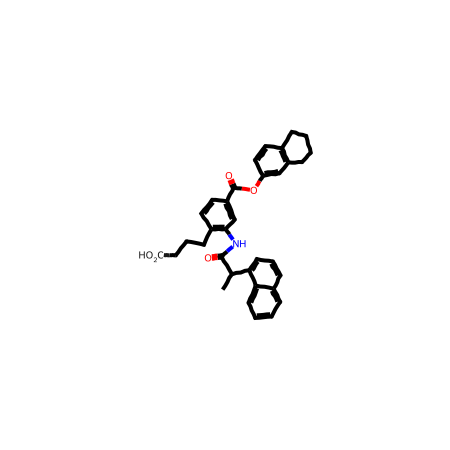 CC(C(=O)Nc1cc(C(=O)Oc2ccc3c(c2)CCCC3)ccc1CCCC(=O)O)c1cccc2ccccc12